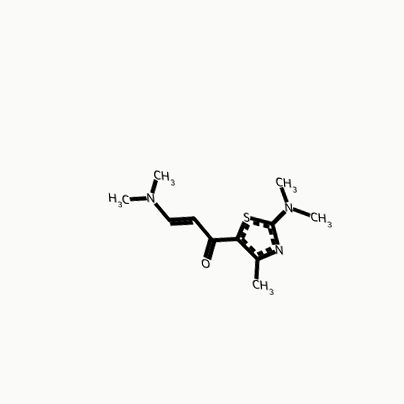 Cc1nc(N(C)C)sc1C(=O)C=CN(C)C